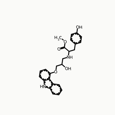 COC(=O)C(Cc1ccc(O)cc1)NCC(O)COc1cccc2[nH]c3ccccc3c12